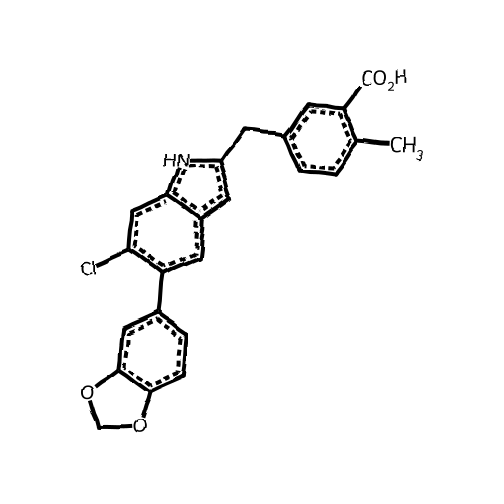 Cc1ccc(Cc2cc3cc(-c4ccc5c(c4)OCO5)c(Cl)cc3[nH]2)cc1C(=O)O